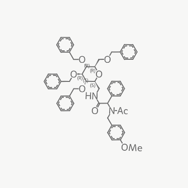 COc1ccc(CN(C(C)=O)C(C(=O)NC[C@@H]2O[C@H](COCc3ccccc3)[C@@H](OCc3ccccc3)[C@H](OCc3ccccc3)[C@H]2OCc2ccccc2)c2ccccc2)cc1